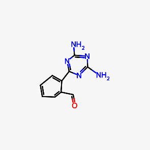 Nc1nc(N)nc(-c2ccccc2C=O)n1